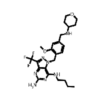 CCCCNc1nc(N)nc2c(C(F)(F)F)nn(Cc3ccc(CNC4CCOCC4)cc3OC)c12